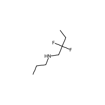 CCCNCC(F)(F)CC